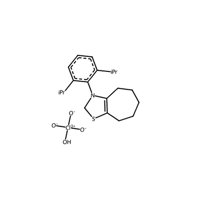 CC(C)c1cccc(C(C)C)c1N1CSC2=C1CCCCC2.[O-][Cl+3]([O-])([O-])O